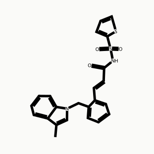 Cc1cn(Cc2ccccc2/C=C/C(=O)NS(=O)(=O)c2cccs2)c2ccccc12